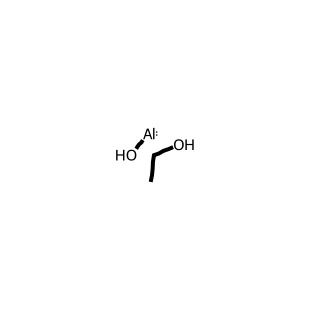 CCO.[OH][Al]